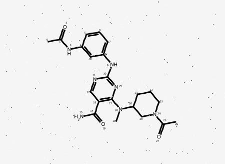 CC(=O)Nc1cccc(Nc2ncc(C(N)=O)c(N(C)C3CCCN(C(C)=O)C3)n2)c1